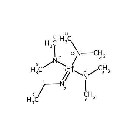 CC[N]=[Hf]([N](C)C)([N](C)C)[N](C)C